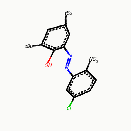 CC(C)(C)c1cc(N=Nc2cc(Cl)ccc2[N+](=O)[O-])c(O)c(C(C)(C)C)c1